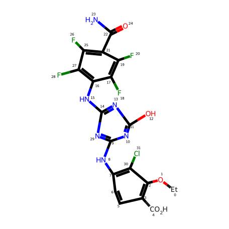 CCOc1c(C(=O)O)ccc(Nc2nc(O)nc(Nc3c(F)c(F)c(C(N)=O)c(F)c3F)n2)c1Cl